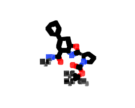 CNC(=O)c1cc(-c2ccccc2)cc2oc([C@@H]3CCCN3C(=O)OC(C)(C)C)nc12